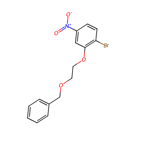 O=[N+]([O-])c1ccc(Br)c(OCCOCc2ccccc2)c1